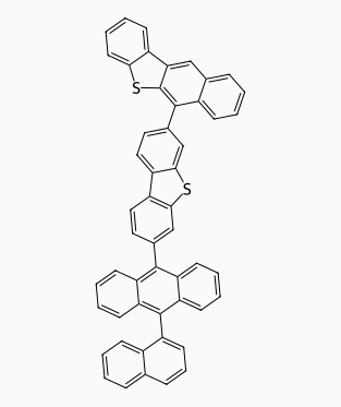 c1ccc2c(-c3c4ccccc4c(-c4ccc5c(c4)sc4cc(-c6c7ccccc7cc7c6sc6ccccc67)ccc45)c4ccccc34)cccc2c1